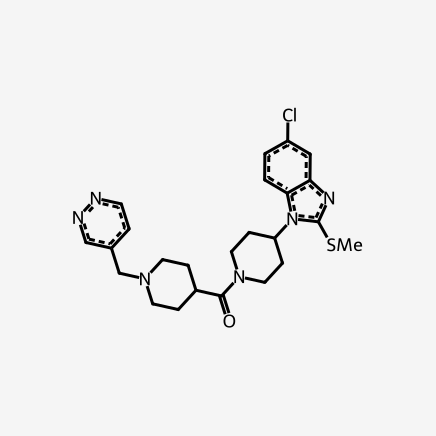 CSc1nc2cc(Cl)ccc2n1C1CCN(C(=O)C2CCN(Cc3ccnnc3)CC2)CC1